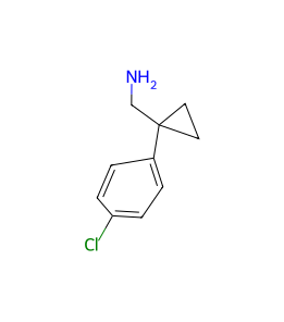 NCC1(c2ccc(Cl)cc2)CC1